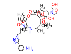 CC[C@H]1OC(=O)[C@H](C)C(=O)[C@H](C)[C@@H](O[C@@H]2OC(C)CC(N3CCOC3CO)C2O)[C@](C)(OC)C[C@@H](C)CN[C@H](C)[C@H]2N(CCCCn3cc(-c4cccc(N)c4)nn3)C(=O)O[C@]12C